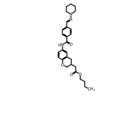 CCCCOC(=O)CC1COc2ccc(NC(=O)c3ccc(C=NN4CCCCC4)cc3)cc2C1